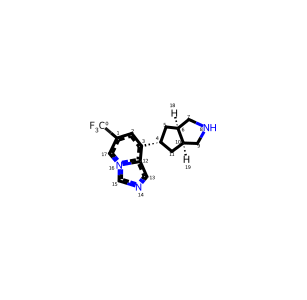 FC(F)(F)c1cc([C@@H]2C[C@H]3CNC[C@H]3C2)c2cncn2c1